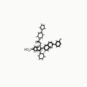 Cc1cccc(-c2ccc3cc(-c4c(C5CCCCC5)c5sc(C(=O)O)cc5n4CC(=O)N4CCC(N5CCCC5)CC4)ccc3n2)c1